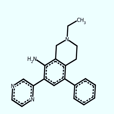 CCN1CCc2c(-c3ccccc3)cc(-c3cnccn3)c(N)c2C1